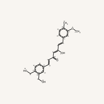 COc1cc(/C=C/C(O)=C/C(=O)/C=C/c2ccc(CO)c(CO)c2)ccc1C